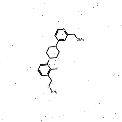 COCc1cc(N2CCN(c3cccc(CON)c3F)CC2)ccn1